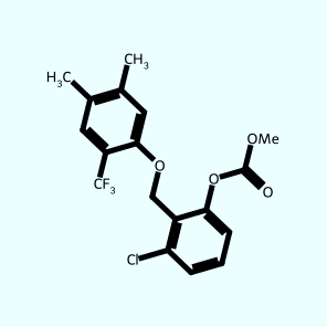 COC(=O)Oc1cccc(Cl)c1COc1cc(C)c(C)cc1C(F)(F)F